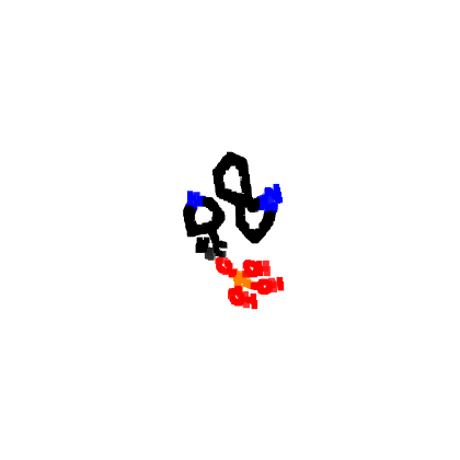 Cc1ccncc1.O=P(O)(O)O.c1ccc2ncccc2c1